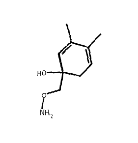 CC1=CCC(O)(CON)C=C1C